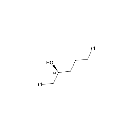 O[C@H](CCl)CCCCl